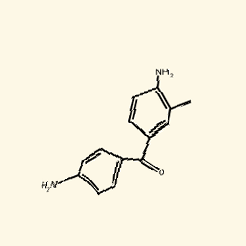 Cc1cc(C(=O)c2ccc(N)cc2)ccc1N